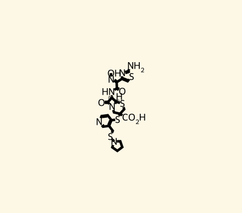 Nc1nc(C(=NO)C(=O)N[C@@H]2C(=O)N3CC(Sc4ccncc4CSN4CCCC4)(C(=O)O)CS[C@H]23)cs1